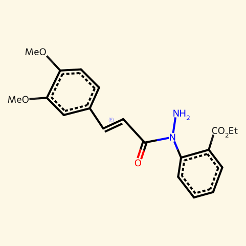 CCOC(=O)c1ccccc1N(N)C(=O)/C=C/c1ccc(OC)c(OC)c1